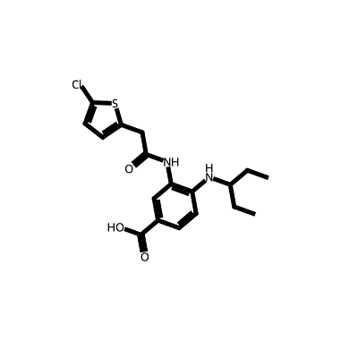 CCC(CC)Nc1ccc(C(=O)O)cc1NC(=O)Cc1ccc(Cl)s1